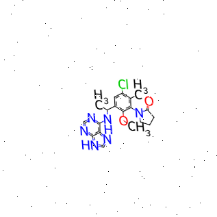 COc1c(C(C)Nc2ncnc3[nH]cnc23)cc(Cl)c(C)c1N1CCCC1=O